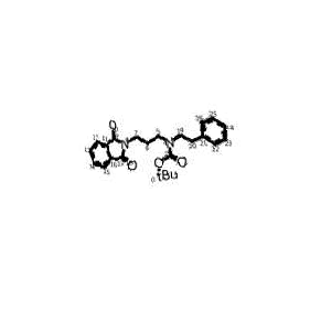 CC(C)(C)OC(=O)N(CCCN1C(=O)c2ccccc2C1=O)CCc1ccccc1